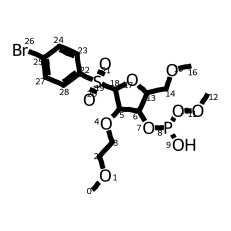 COCCOC1C(OP(O)OOC)C(COC)OC1S(=O)(=O)c1ccc(Br)cc1